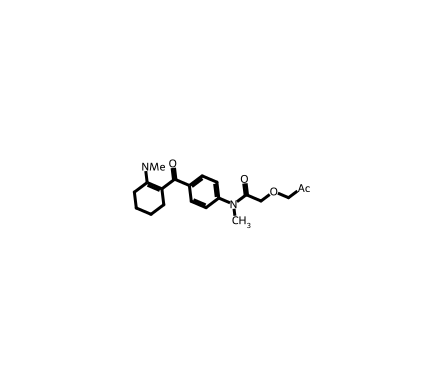 CNC1=C(C(=O)c2ccc(N(C)C(=O)COCC(C)=O)cc2)CCCC1